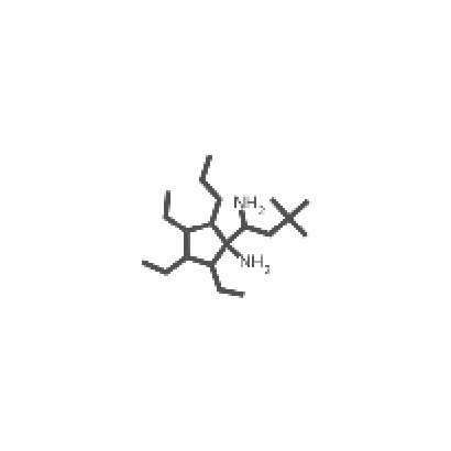 CCCC1C(CC)C(CC)C(CC)C1(N)C(N)CC(C)(C)C